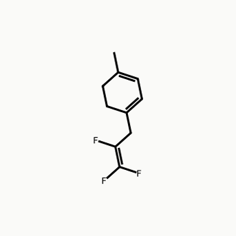 CC1=CC=C(CC(F)=C(F)F)CC1